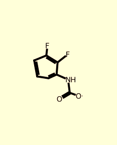 [O]C(=O)Nc1cccc(F)c1F